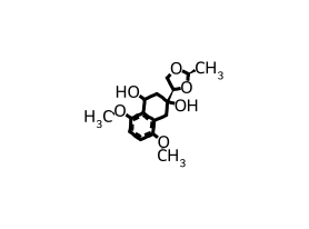 COc1ccc(OC)c2c1CC(O)([C@H]1CO[C@@H](C)O1)CC2O